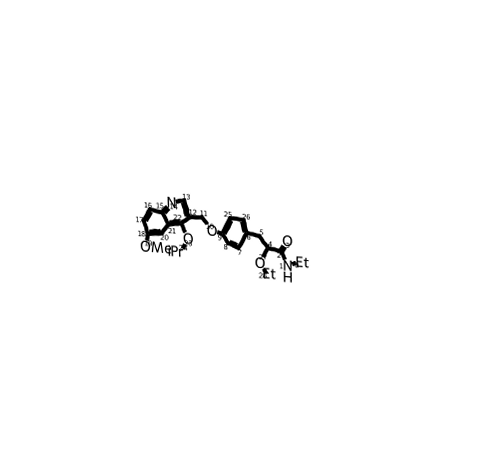 CCNC(=O)C(Cc1ccc(OCc2cnc3ccc(OC)cc3c2OC(C)C)cc1)OCC